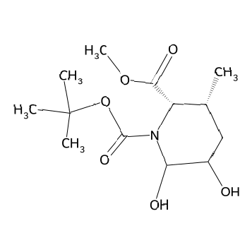 COC(=O)[C@@H]1[C@H](C)CC(O)C(O)N1C(=O)OC(C)(C)C